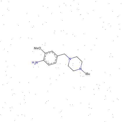 COc1cc(CN2CCN(C(C)(C)C)CC2)ccc1N